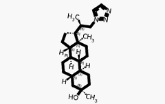 C[C@@H](Cn1ccnn1)[C@H]1CC[C@H]2[C@@H]3CC[C@H]4C[C@](C)(O)CC[C@@H]4[C@H]3CC[C@]12C